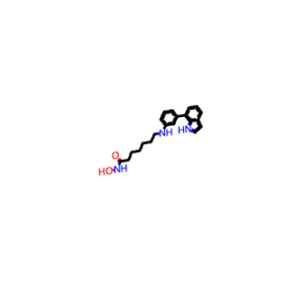 O=C(CCCCCCNc1cccc(-c2cccc3cc[nH]c23)c1)NO